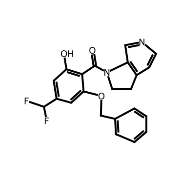 O=C(c1c(O)cc(C(F)F)cc1OCc1ccccc1)N1CCc2ccncc21